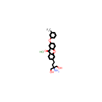 Cl.NC(CO)(CO)CCc1ccc2c(=O)c3cc(Oc4cccc(C(F)(F)F)c4)ccc3oc2c1